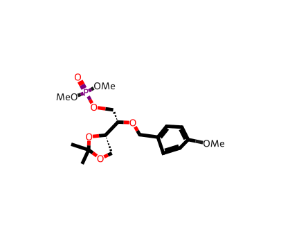 COc1ccc(CO[C@@H](COP(=O)(OC)OC)[C@@H]2COC(C)(C)O2)cc1